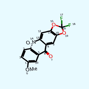 COc1cccc(C(=O)c2cc3c(cc2[N+](=O)[O-])OC(F)(F)O3)c1